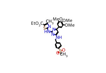 CCOC(=O)c1sc(Nc2nc(NCc3ccc(S(C)(=O)=O)cc3)cc(-c3cc(OC)c(OC)c(OC)c3)n2)nc1C